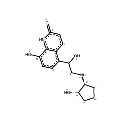 O=c1ccc2c(C(O)CN[C@H]3CCC[C@@H]3O)ccc(O)c2[nH]1